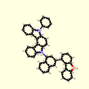 c1ccc(-n2c3ccccc3c3c4c5ccccc5n(-c5cc(-c6cccc7oc8ccccc8c67)cc6ccccc56)c4ccc32)cc1